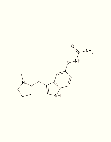 CN1CCCC1Cc1c[nH]c2ccc(SNC(N)=O)cc12